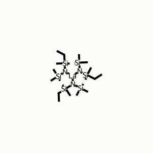 CC[Si](C)(C)[N]([La]([N]([Si](C)(C)C)[Si](C)(C)CC)[N]([Si](C)(C)C)[Si](C)(C)CC)[Si](C)(C)C